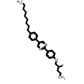 CCCCCCCCCc1ccc(-c2cnc(-c3ccc(OCC(F)CCC)cc3)nc2)cc1